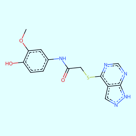 COc1cc(NC(=O)CSc2ncnc3[nH]ncc23)ccc1O